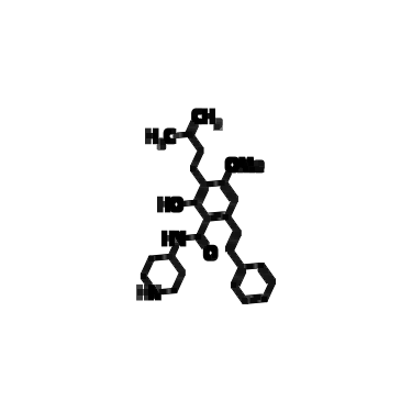 C=C(C)CCc1c(OC)cc(C=Cc2ccccc2)c(C(=O)NC2CCNCC2)c1O